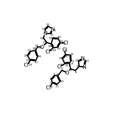 Clc1ccc(COC(CC2C=NC=N2)c2ccc(Cl)cc2Cl)cc1.Clc1ccc(COC(Cn2ccnc2)c2ccc(Cl)cc2Cl)cc1